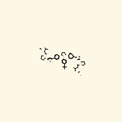 COC(=O)N[C@H](C(=O)N1CCC[C@H]1c1cc(-c2ccc([C@H]3CC[C@H](c4ccc(-c5nnc([C@@H]6CCCN6C(=O)[C@@H](NC(=O)OC)C(C)C)[nH]5)cc4)N3c3ccc(C(C)(C)C)cc3)cc2)n[nH]1)C(C)C